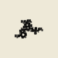 C=CS(=O)(=O)NC[C@H]1O[C@@H](n2cnc3c(N)ncnc32)[C@@H]2OC(C)(C)O[C@@H]21